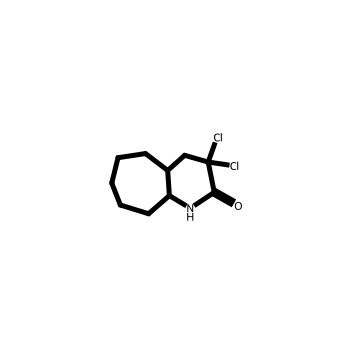 O=C1NC2CCCCCC2CC1(Cl)Cl